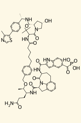 Cc1ncsc1-c1ccc([C@H](C)NC(=O)[C@@H]2C[C@H](O)CN2C(=O)[C@@H](NC(=O)CCCCc2ccc(CO[C@H](C)[C@H](CCC(N)=O)NC(=O)[C@@H]3Cc4cccc5c4N3C(=O)[C@@H](NC(=O)c3cc4cc(C(=O)P(=O)(O)O)ccc4[nH]3)CC5)cc2)C(C)(C)C)cc1